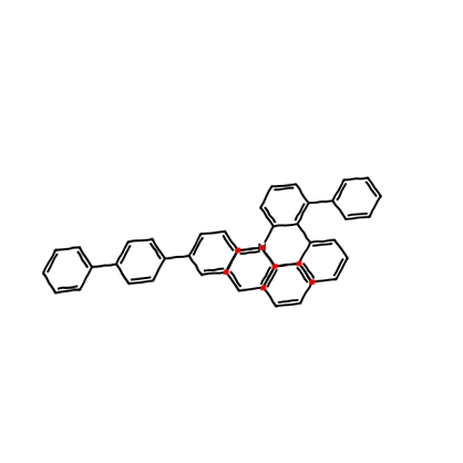 c1ccc(-c2ccc(-c3ccc(N(c4ccccc4)c4cccc(-c5ccccc5)c4-c4ccccc4-c4ccccc4)cc3)cc2)cc1